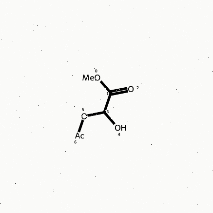 COC(=O)C(O)OC(C)=O